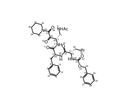 CC(=O)NC[C@H](NC(=O)[C@H](Cc1ccccc1)NC(=O)[C@H](CC(C)C)NC(=O)OCc1ccccc1)C(=O)C(=O)N1CCCCC1